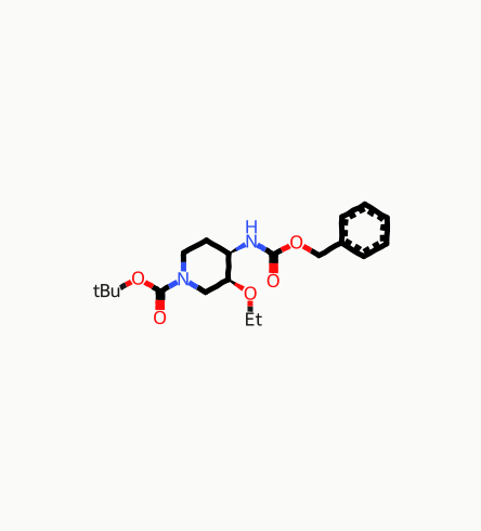 CCO[C@H]1CN(C(=O)OC(C)(C)C)CC[C@H]1NC(=O)OCc1ccccc1